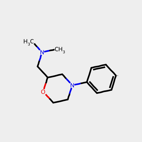 CN(C)CC1CN(c2cc[c]cc2)CCO1